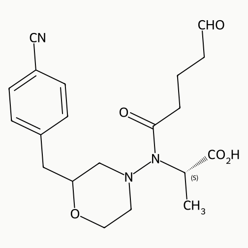 C[C@@H](C(=O)O)N(C(=O)CCCC=O)N1CCOC(Cc2ccc(C#N)cc2)C1